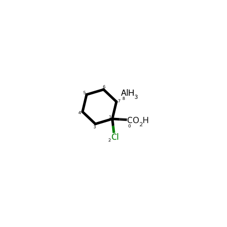 O=C(O)C1(Cl)CCCCC1.[AlH3]